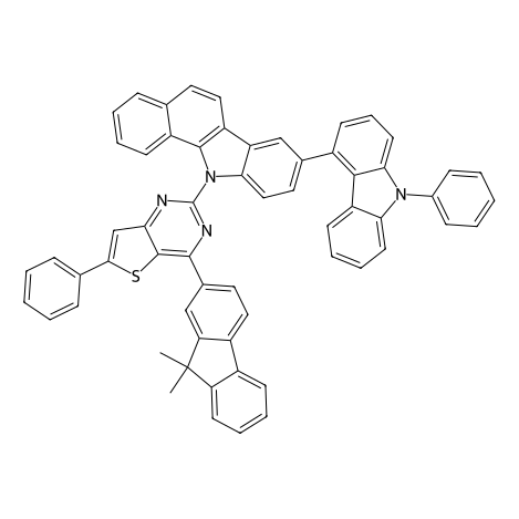 CC1(C)c2ccccc2-c2ccc(-c3nc(-n4c5ccc(-c6cccc7c6c6ccccc6n7-c6ccccc6)cc5c5ccc6ccccc6c54)nc4cc(-c5ccccc5)sc34)cc21